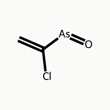 C=C(Cl)[As]=O